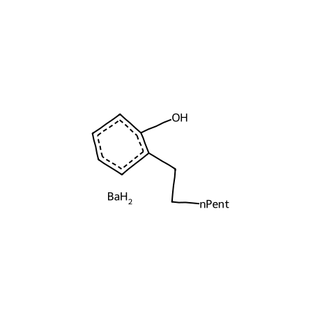 CCCCCCCc1ccccc1O.[BaH2]